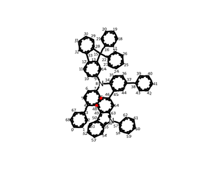 c1ccc(-c2ccc(N(c3ccc4c(c3)C(c3ccccc3)(c3ccccc3)c3ccccc3-4)c3ccc(-c4ccccc4)cc3-c3ccc4c5ccccc5n(-c5ccccc5)c4c3)cc2)cc1